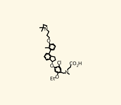 CCOc1cc(O[C@@H]2CCc3c(-c4cccc(OCCCN5CCC5(C)C)c4C)cccc32)c(Cl)cc1CN(C)CCC(=O)O